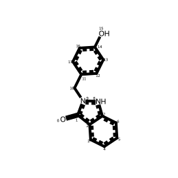 O=c1c2ccccc2[nH]n1Cc1ccc(O)cc1